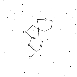 Clc1ccc2c(n1)NCC21CCOCC1